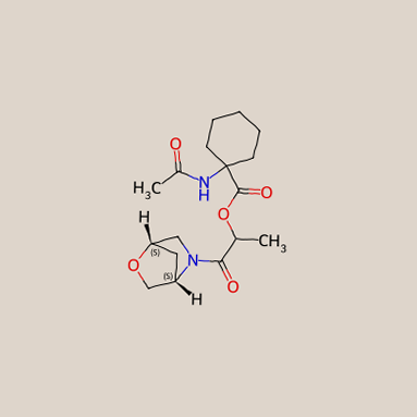 CC(=O)NC1(C(=O)OC(C)C(=O)N2C[C@@H]3C[C@H]2CO3)CCCCC1